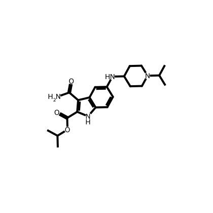 CC(C)OC(=O)c1[nH]c2ccc(NC3CCN(C(C)C)CC3)cc2c1C(N)=O